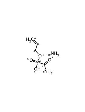 C=CCOP(=O)(O)C(N)=O.N